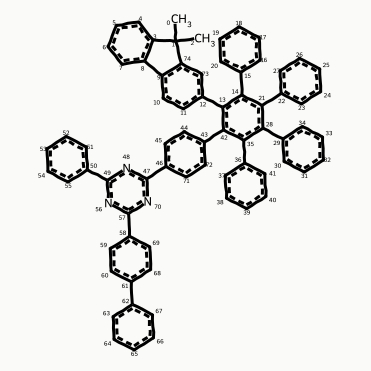 CC1(C)c2ccccc2-c2ccc(-c3c(-c4ccccc4)c(-c4ccccc4)c(-c4ccccc4)c(-c4ccccc4)c3-c3ccc(-c4nc(-c5ccccc5)nc(-c5ccc(-c6ccccc6)cc5)n4)cc3)cc21